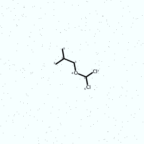 CC(C)COC(Cl)Cl